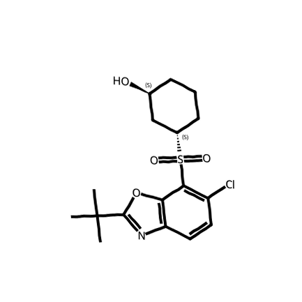 CC(C)(C)c1nc2ccc(Cl)c(S(=O)(=O)[C@H]3CCC[C@H](O)C3)c2o1